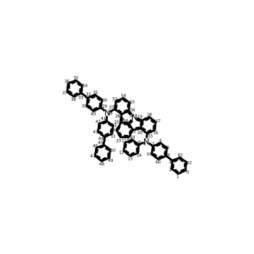 c1ccc(-c2ccc(N(c3ccccc3)c3cccc4c3c3cccc5c6c(N(c7ccc(-c8ccccc8)cc7)c7ccc(-c8ccccc8)cc7)cccc6n4c35)cc2)cc1